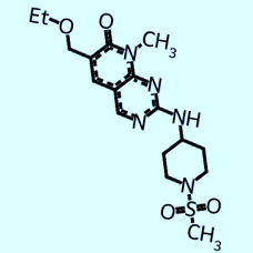 CCOCc1cc2cnc(NC3CCN(S(C)(=O)=O)CC3)nc2n(C)c1=O